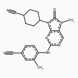 Cc1cc(C#N)ccc1Nc1ncc2c(n1)n(C1CCC(C#N)CC1)c(=O)n2C